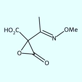 CON=C(C)C1(C(=O)O)OC1=O